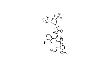 Cc1c(F)cccc1-c1cc(N2CCC(O)C2CO)ncc1N(C)C(=O)C(C)(C)c1cc(C(F)(F)F)cc(C(F)(F)F)c1